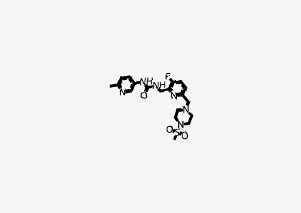 Cc1ccc(NC(=O)NCc2nc(CN3CCN(S(C)(=O)=O)CC3)ccc2F)cn1